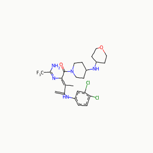 C=C(Nc1ccc(Cl)c(Cl)c1)/C(C)=C(\N=C(/N)C(F)(F)F)C(=O)N1CCC(NC2CCOCC2)CC1